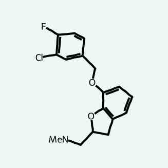 CNCC1Cc2cccc(OCc3ccc(F)c(Cl)c3)c2O1